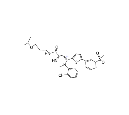 CC(C)OCCCNC(=O)C(=N)/C=C(/c1ccc(-c2cccc(S(C)(=O)=O)c2)s1)N(C)c1ccccc1Cl